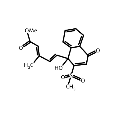 COC(=O)C=C(C)C=CC1(O)C(S(C)(=O)=O)=CC(=O)c2ccccc21